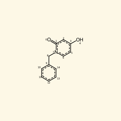 O=c1cc(O)ccn1Cc1ccccc1